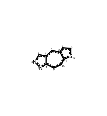 c1cc2cc3cnnc-3ccc2s1